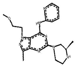 CCOCCn1nc(C)c2nc(N3CCN[C@H](C)C3)nc(Nc3ccccn3)c21